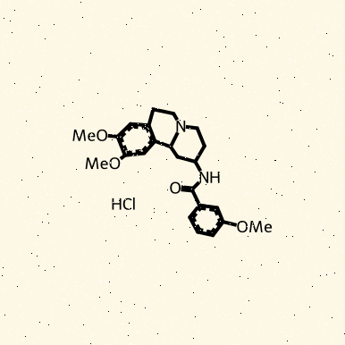 COc1cccc(C(=O)NC2CCN3CCc4cc(OC)c(OC)cc4C3C2)c1.Cl